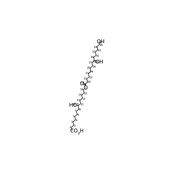 O=C(O)CCCCCCCCC(O)CCCCCCOC(=O)CCCCCCCCC(O)CCCCCCO